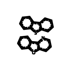 c1ccc2c(c1)oc1cccnc12.c1ccc2c(c1)sc1ccccc12